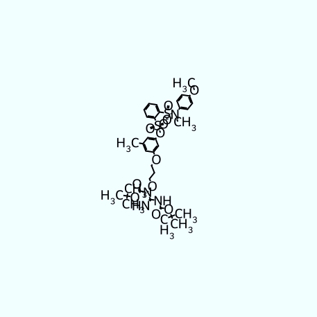 COc1ccc(N(C)S(=O)(=O)c2ccccc2S(=O)(=O)Oc2cc(C)cc(OCCCON(C(=N)NC(=O)OC(C)(C)C)C(=O)OC(C)(C)C)c2)cc1